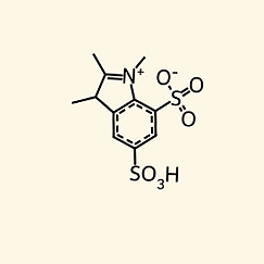 CC1=[N+](C)c2c(cc(S(=O)(=O)O)cc2S(=O)(=O)[O-])C1C